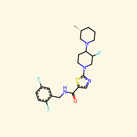 C[C@@H]1CCCN(C2CCN(c3ncc(C(=O)NCc4cc(F)ccc4F)s3)CC2F)C1